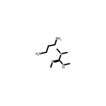 C/N=C(\NC)N(C)C.NCCCN